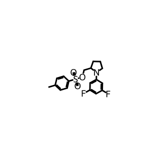 Cc1ccc(S(=O)(=O)OCC2CCCN2c2cc(F)cc(F)c2)cc1